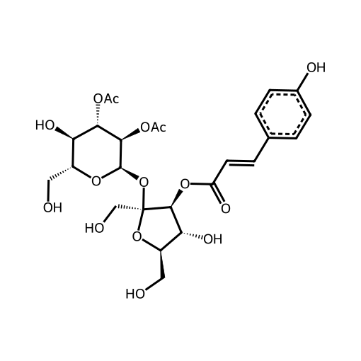 CC(=O)O[C@H]1[C@@H](O[C@]2(CO)O[C@H](CO)[C@@H](O)[C@@H]2OC(=O)/C=C/c2ccc(O)cc2)O[C@H](CO)[C@@H](O)[C@@H]1OC(C)=O